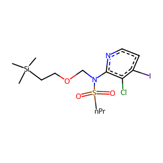 CCCS(=O)(=O)N(COCC[Si](C)(C)C)c1nccc(I)c1Cl